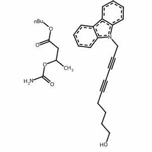 CCCCOC(=O)CC(C)OC(N)=O.OCCCCC#CC#CCn1c2ccccc2c2ccccc21